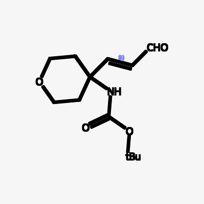 CC(C)(C)OC(=O)NC1(/C=C/C=O)CCOCC1